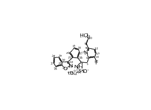 CC(C)(C)[S@+]([O-])NC(Cc1nc(CCO)ccc1F)c1ccccc1-c1noc2ccccc12